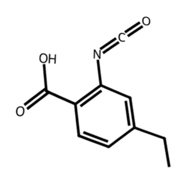 CCc1ccc(C(=O)O)c(N=C=O)c1